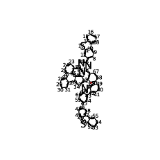 c1ccc(-c2nc(-c3ccc4c(c3)sc3ccccc34)nc(-c3cccc4c5ccccc5c5cc(-n6c7ccccc7c7cc(-c8ccc9sc%10ccccc%10c9c8)ccc76)ccc5c34)n2)cc1